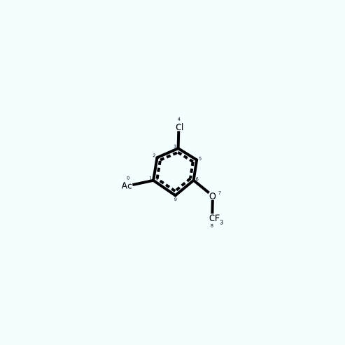 CC(=O)c1cc(Cl)cc(OC(F)(F)F)c1